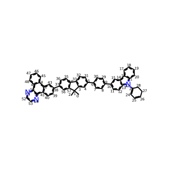 CC1(C)c2cc(-c3ccc(-c4ccc5c(c4)c4ccccc4n5C4=CC=CCC4)cc3)ccc2-c2ccc(-c3ccc4c(c3)c3ccccc3c3nccnc43)cc21